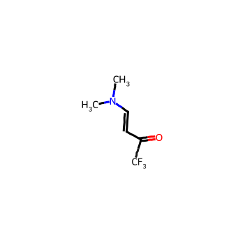 CN(C)/C=C/C(=O)C(F)(F)F